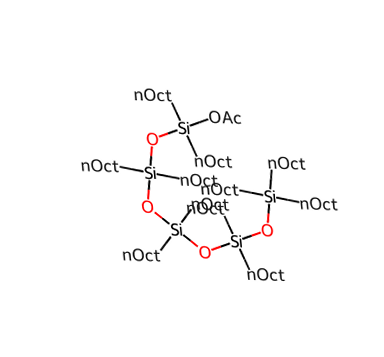 CCCCCCCC[Si](CCCCCCCC)(CCCCCCCC)O[Si](CCCCCCCC)(CCCCCCCC)O[Si](CCCCCCCC)(CCCCCCCC)O[Si](CCCCCCCC)(CCCCCCCC)O[Si](CCCCCCCC)(CCCCCCCC)OC(C)=O